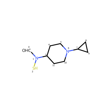 O=CN(S)C1CCN(C2CC2)CC1